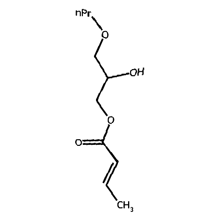 [CH2]CCOCC(O)COC(=O)C=CC